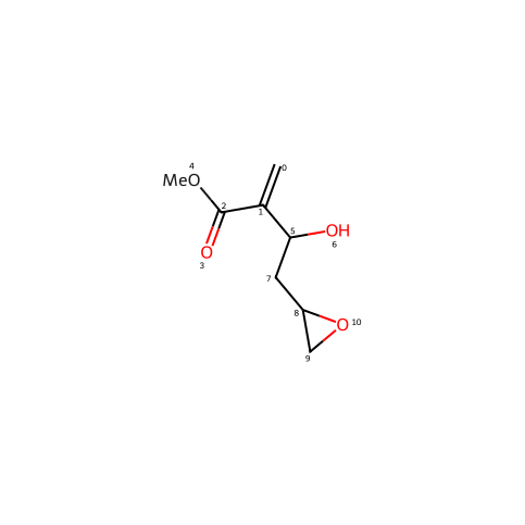 C=C(C(=O)OC)C(O)CC1CO1